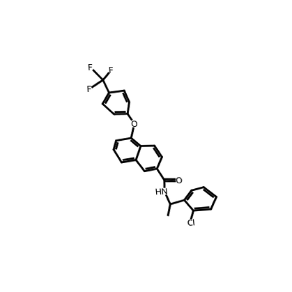 CC(NC(=O)c1ccc2c(Oc3ccc(C(F)(F)F)cc3)cccc2c1)c1ccccc1Cl